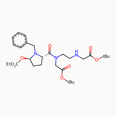 CCOC(=O)O[C@@H]1CC[C@@H](C(=O)N(CCNCC(=O)OC(C)(C)C)CC(=O)OC(C)(C)C)N1Cc1ccccc1